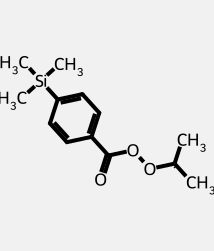 C[C](C)OOC(=O)c1ccc([Si](C)(C)C)cc1